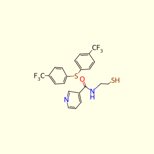 FC(F)(F)c1ccc(Sc2ccc(C(F)(F)F)cc2)cc1.O=C(NCCS)c1cccnc1